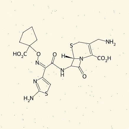 NCC1=C(C(=O)O)N2C(=O)C(NC(=O)/C(=N\OC3(C(=O)O)CCCC3)c3csc(N)n3)[C@@H]2SC1